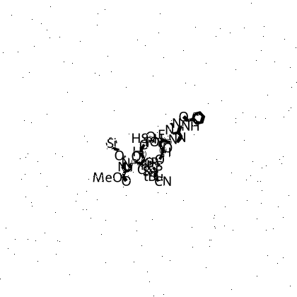 COC(=O)c1cc([C@@H]2O[C@@H]3COP(=O)(S)O[C@H]4[C@@H](F)[C@H](n5cnc6c(NC(=O)c7ccccc7)ncnc65)O[C@@H]4COP(=S)(OCCC#N)O[C@H]3[C@H]2O[Si](C)(C)C(C)(C)C)n(COCC[Si](C)(C)C)n1